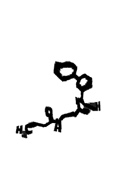 CCCC(=O)NCCc1c[nH]c(-c2cccc(-c3ccccc3)c2)n1